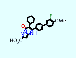 COc1ccc(-c2ccc(-c3[nH]c4cc(C(=O)O)nn4c(=O)c3C3CCCCC3)cc2)cc1F